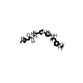 Cn1cc(CC(=O)Nc2nnc(C3CCN(c4ccc(NC(=O)Cc5cccc(OC(F)(F)F)c5)nn4)C3)s2)cn1